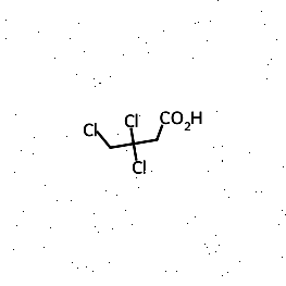 O=C(O)CC(Cl)(Cl)CCl